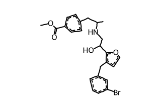 COC(=O)c1ccc(CC(C)NCC(O)c2occc2Cc2cccc(Br)c2)cc1